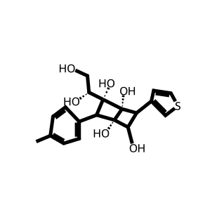 Cc1ccc(C2[C@]3(O)C(O)C(c4ccsc4)[C@]3(O)[C@]2(O)[C@H](O)CO)cc1